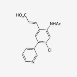 CC(=O)Nc1cc(Cl)c(-c2cccnc2)cc1C=CC(=O)O